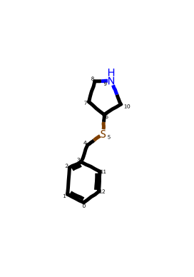 c1ccc(CSC2CCNC2)cc1